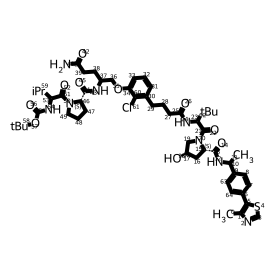 Cc1ncsc1-c1ccc(C(C)NC(=O)[C@@H]2C[C@@H](O)CN2C(=O)C(NC(=O)CCCc2cccc(OCC(CCC(N)=O)NC(=O)[C@@H]3CCCN3C(=O)C(NC(=O)OC(C)(C)C)C(C)C)c2Cl)C(C)(C)C)cc1